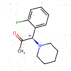 CC(=O)[C@@H](c1ccccc1F)N1CCCCC1